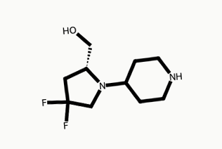 OC[C@H]1CC(F)(F)CN1C1CCNCC1